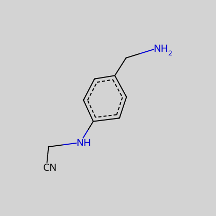 N#CCNc1ccc(CN)cc1